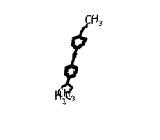 CCCc1ccc(C#Cc2ccc(C(CC)CC)cc2)cc1